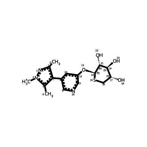 Cc1nn(C)c(C)c1-c1cncc(O[C@@H]2SC[C@@H](O)[C@H](O)[C@H]2O)c1